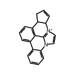 C1=CC2C(C1)c1cccc3c4ccccc4n4cc[n+]2c4c13